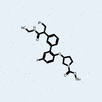 CC(C)CC(C(=O)NCC#N)c1cccc(-c2cc(F)ccc2OC2CCN(C(=O)OC(C)(C)C)C2)c1